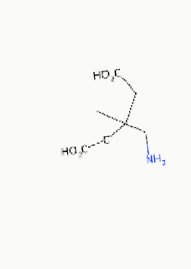 CC(CN)(CC(=O)O)CC(=O)O